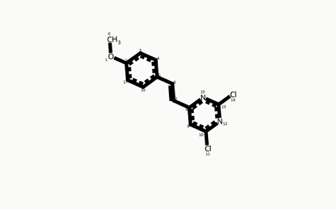 COc1ccc(C=Cc2cc(Cl)nc(Cl)n2)cc1